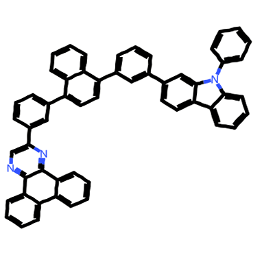 c1ccc(-n2c3ccccc3c3ccc(-c4cccc(-c5ccc(-c6cccc(-c7cnc8c9ccccc9c9ccccc9c8n7)c6)c6ccccc56)c4)cc32)cc1